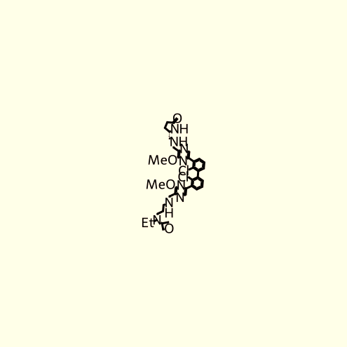 CCN(CCCNCc1ncc(-c2cccc(-c3cccc(-c4cnc(CNC[C@@H]5CCC(=O)N5)c(OC)n4)c3Cl)c2Cl)nc1OC)C1COC1